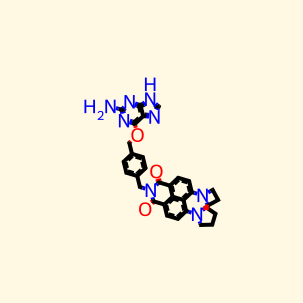 Nc1nc(OCc2ccc(CN3C(=O)c4ccc(N5CCCC5)c5c(N6CCC6)ccc(c45)C3=O)cc2)c2nc[nH]c2n1